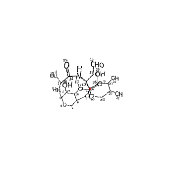 CCC(C)C1NC2OCC(OC(=O)C(CC=O)NC1=O)C(OC1OCC(O)C(O)C1O)C2O